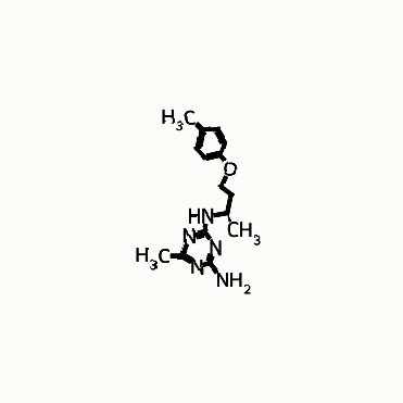 Cc1ccc(OCC[C@H](C)Nc2nc(C)nc(N)n2)cc1